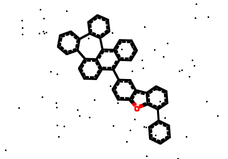 c1ccc(-c2cccc3c2oc2ccc(-c4c5ccccc5c5c6c(cccc46)-c4ccccc4-c4ccccc4-5)cc23)cc1